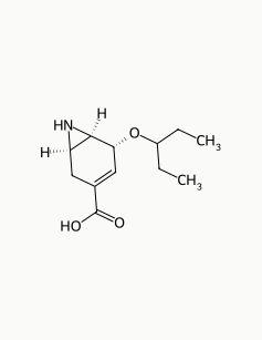 CCC(CC)O[C@@H]1C=C(C(=O)O)C[C@H]2N[C@H]21